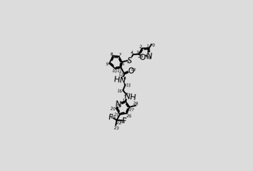 Cc1cc(CSc2ccccc2C(=O)NCCNc2ncc(C(C)(F)F)cc2C)on1